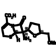 COC[C@@H]1CC[C@H]([C@@]2(N)C(=O)N3C(C(=O)O)=CCS[C@@H]32)O1